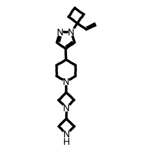 C=CC1(n2cc(C3CCN(C4CN(C5CNC5)C4)CC3)cn2)CCC1